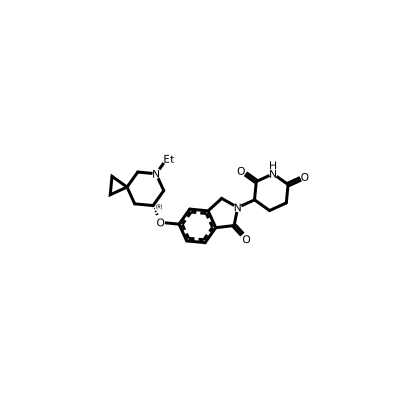 CCN1C[C@H](Oc2ccc3c(c2)CN(C2CCC(=O)NC2=O)C3=O)CC2(CC2)C1